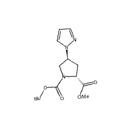 COC(=O)[C@H]1C[C@H](n2cccn2)CN1C(=O)OC(C)(C)C